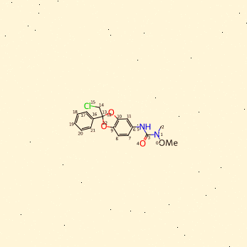 CON(C)C(=O)Nc1ccc2c(c1)OC(CCl)(c1ccccc1)O2